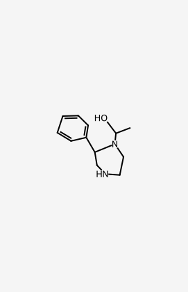 CC(O)N1CCNCC1c1ccccc1